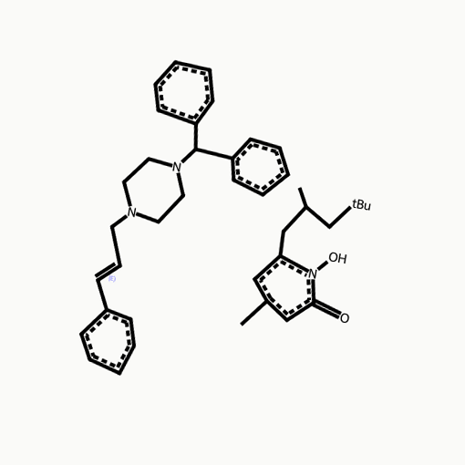 C(=C\c1ccccc1)/CN1CCN(C(c2ccccc2)c2ccccc2)CC1.Cc1cc(CC(C)CC(C)(C)C)n(O)c(=O)c1